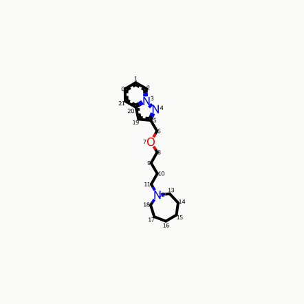 c1ccn2nc(COCCCCN3CCCCCC3)cc2c1